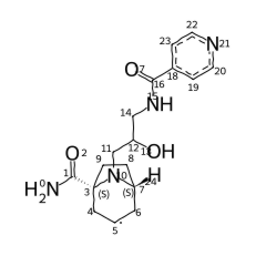 NC(=O)[C@]12C[CH]C[C@@H](CC1)N2CC(O)CNC(=O)c1ccncc1